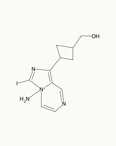 N[N+]12C=CN=CC1=C(C1CC(CO)C1)N=C2I